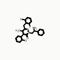 Cc1c(Cc2c(F)cccc2Cl)nn(CC(N)c2ccccc2)c(=O)c1-c1ccccc1Cl